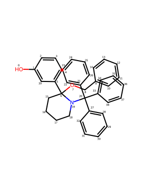 Oc1cccc(C2(OCc3ccccc3)CCCCN2C(c2ccccc2)(c2ccccc2)c2ccccc2)c1